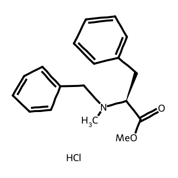 COC(=O)[C@H](Cc1ccccc1)N(C)Cc1ccccc1.Cl